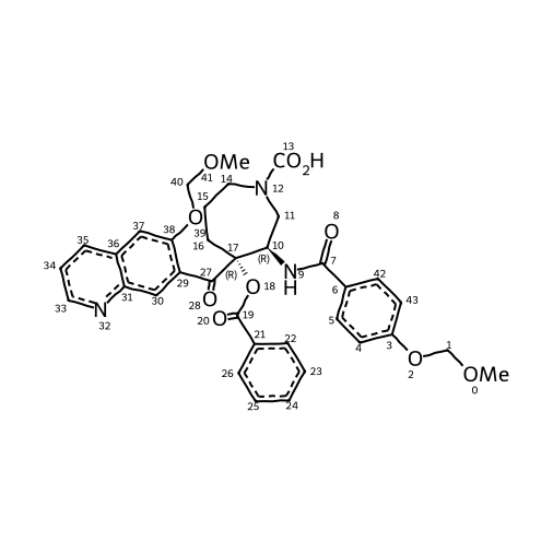 COCOc1ccc(C(=O)N[C@@H]2CN(C(=O)O)CCC[C@]2(OC(=O)c2ccccc2)C(=O)c2cc3ncccc3cc2OCOC)cc1